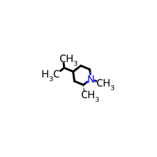 CC(C)C1CCN(C)[C@H](C)C1